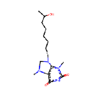 CC(O)CCCCCCN1CN(C)c2c1n(C)c(=O)[nH]c2=O